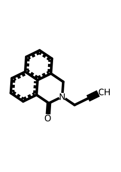 C#CCN1Cc2cccc3cccc(c23)C1=O